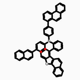 c1ccc(N(c2ccc(-c3ccc4ccccc4c3)cc2)c2ccc(-c3cccc4c3ccc3ccccc34)cc2)c(-c2cccc3oc4c5ccccc5ccc4c23)c1